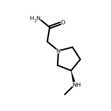 CN[C@@H]1CCN(CC(N)=O)C1